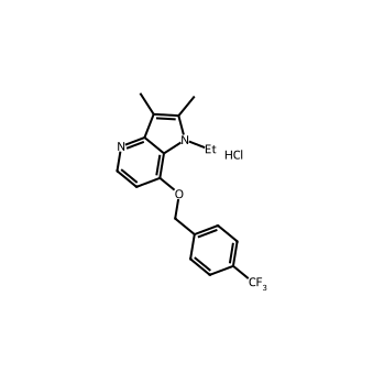 CCn1c(C)c(C)c2nccc(OCc3ccc(C(F)(F)F)cc3)c21.Cl